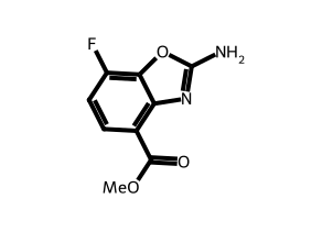 COC(=O)c1ccc(F)c2oc(N)nc12